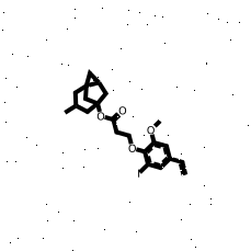 C=Cc1cc(I)c(OCCC(=O)OC23CC(C)CC4(CC4C2)C3)c(OC)c1